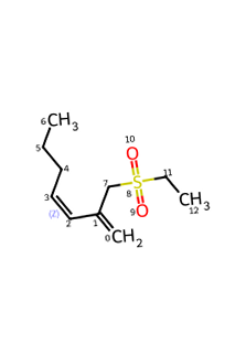 C=C(/C=C\CCC)CS(=O)(=O)CC